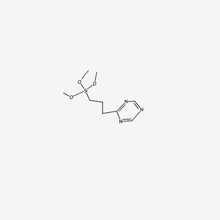 CO[Si](CCCc1ncncn1)(OC)OC